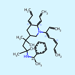 C=C/C=C\C=C(/C=C)N1CC(C(C)(C)CC(C)(C)N[C@H](C)c2ccccc2)CC(=C/C=C)/C1=C\C=C